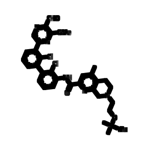 COc1nc(-c2cccc(-c3cccc(NC(=O)c4cc(C)c5c(n4)CN(CCO[Si](C)(C)C(C)(C)C)CC5)c3Cl)c2Cl)cnc1C=O